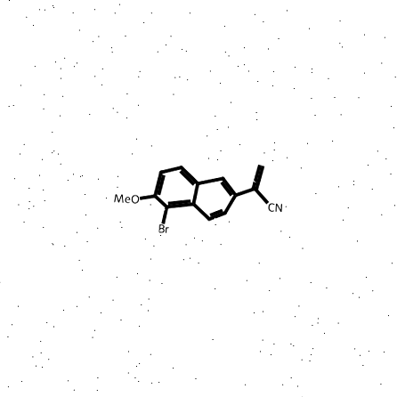 C=C(C#N)c1ccc2c(Br)c(OC)ccc2c1